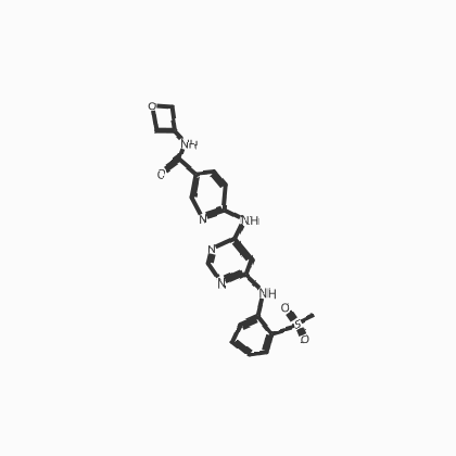 CS(=O)(=O)c1ccccc1Nc1cc(Nc2ccc(C(=O)NC3COC3)cn2)ncn1